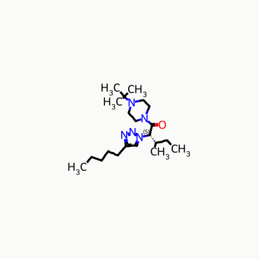 CCCCCc1cn([C@H](C(=O)N2CCN(C(C)(C)C)CC2)C(C)CC)nn1